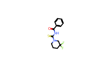 O=C(NC(=S)N1CCCC(F)(F)C1)c1ccccc1